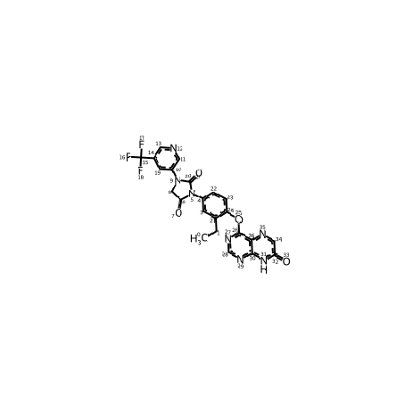 CCc1cc(N2C(=O)CN(c3cncc(C(F)(F)F)c3)C2=O)ccc1Oc1ncnc2[nH]c(=O)cnc12